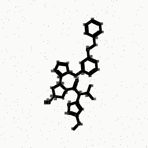 COc1cc([C@@H](C(=O)N2C[C@H](O)C[C@H]2c2nccn2Cc2cccc(OCc3ccccc3)c2)C(C)C)on1